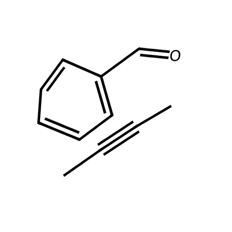 CC#CC.O=Cc1ccccc1